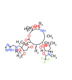 CC[C@H]1OC(=O)[C@H](C)[C@@H](O[C@H]2C[C@@](C)(OC)[C@](O)(CNCc3ncn[nH]3)[C@H](C)O2)[C@H](C)[C@@H](O[C@@H]2O[C@H](C)C[C@H]3[C@H]2OC(C(F)(F)F)N3C)[C@](C)(O)C[C@@H](C)CN[C@H](C)[C@@H](O)[C@]1(C)O